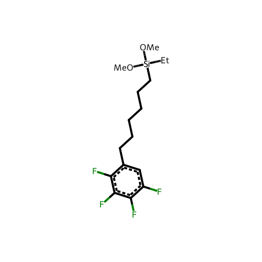 CC[Si](CCCCCCc1cc(F)c(F)c(F)c1F)(OC)OC